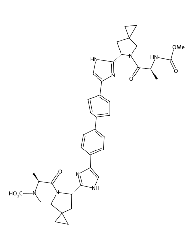 COC(=O)N[C@@H](C)C(=O)N1CC2(CC2)C[C@H]1c1nc(-c2ccc(-c3ccc(-c4c[nH]c([C@@H]5CC6(CC6)CN5C(=O)[C@H](C)N(C)C(=O)O)n4)cc3)cc2)c[nH]1